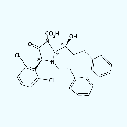 O=C(O)N1C(=O)[C@H](c2c(Cl)cccc2Cl)N(CCc2ccccc2)[C@H]1[C@@H](O)CCc1ccccc1